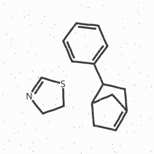 C1=C2CC(C1)C(c1ccccc1)C2.[C]1=NCCS1